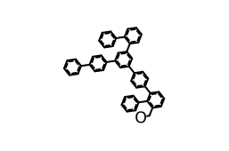 c1ccc(-c2ccc(-c3cc(-c4ccc(-c5cccc6c5-c5ccccc5OC6)cc4)cc(-c4ccccc4-c4ccccc4)c3)cc2)cc1